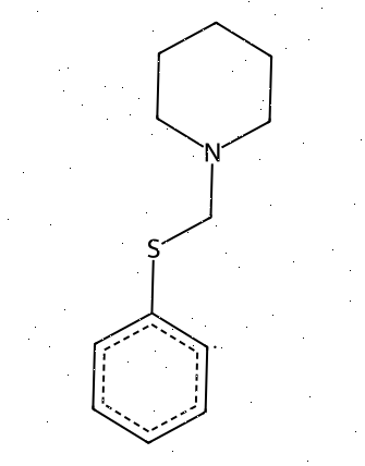 [c]1ccccc1SCN1CCCCC1